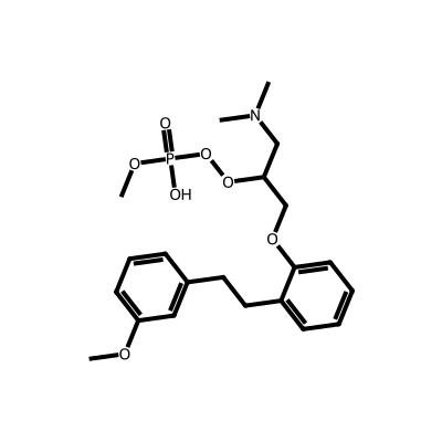 COc1cccc(CCc2ccccc2OCC(CN(C)C)OOP(=O)(O)OC)c1